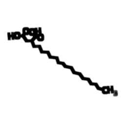 CCCCCCCCCCCCCCCCCCC(CC(=O)O)C(=O)O